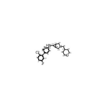 Fc1ccc(Cl)c(-c2ccc(NC3C4CN(CC5CCOCC5)CC43)nn2)c1